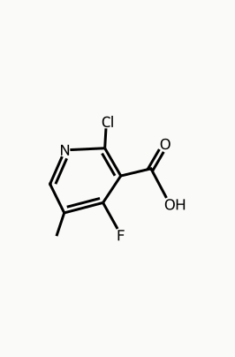 Cc1cnc(Cl)c(C(=O)O)c1F